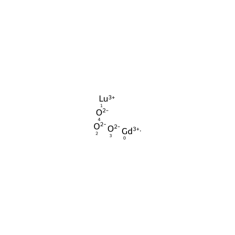 [Gd+3].[Lu+3].[O-2].[O-2].[O-2]